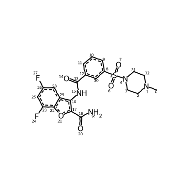 CN1CCN(S(=O)(=O)c2cccc(C(=O)Nc3c(C(N)=O)oc4c(F)cc(F)cc34)c2)CC1